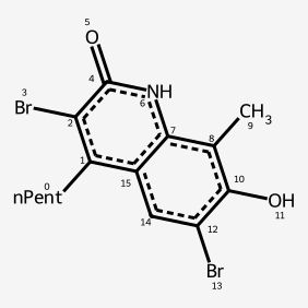 CCCCCc1c(Br)c(=O)[nH]c2c(C)c(O)c(Br)cc12